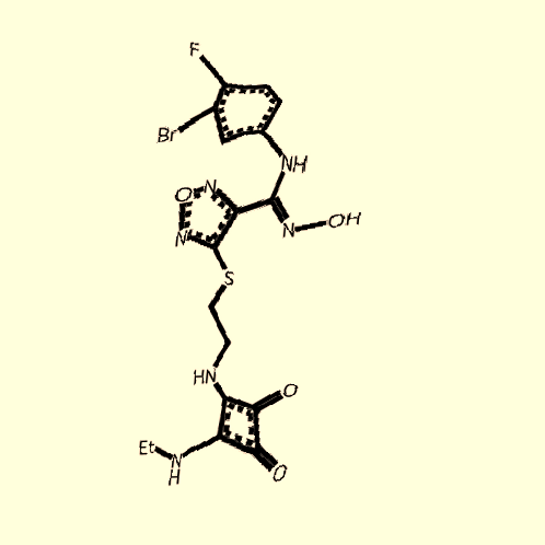 CCNc1c(NCCSc2nonc2/C(=N/O)Nc2ccc(F)c(Br)c2)c(=O)c1=O